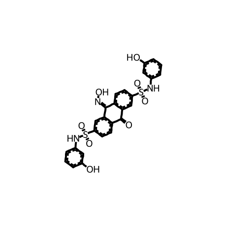 O=C1c2cc(S(=O)(=O)Nc3cccc(O)c3)ccc2C(=NO)c2cc(S(=O)(=O)Nc3cccc(O)c3)ccc21